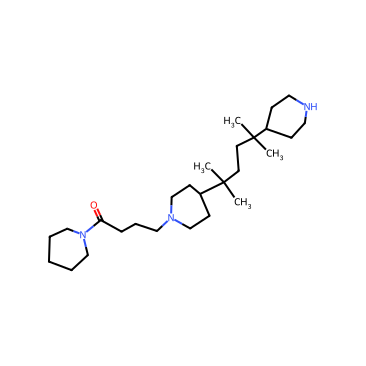 CC(C)(CCC(C)(C)C1CCN(CCCC(=O)N2CCCCC2)CC1)C1CCNCC1